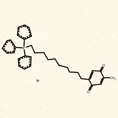 CC1=CC(=O)C(CCCCCCCCCC[P+](c2ccccc2)(c2ccccc2)c2ccccc2)=CC1=O.[Br-]